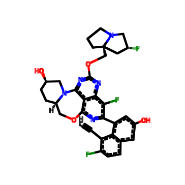 C#Cc1c(F)ccc2cc(O)cc(-c3nc4c5c(nc(OC[C@@]67CCCN6C[C@H](F)C7)nc5c3F)N3C[C@H](O)CC[C@@H]3CO4)c12